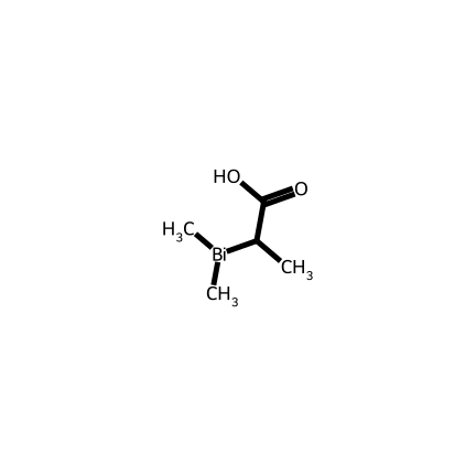 C[CH](C(=O)O)[Bi]([CH3])[CH3]